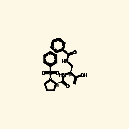 C=C(O)[C@H](CNC(=O)c1ccccc1)NC(=O)[C@@H]1CCCN1S(=O)(=O)c1ccccc1